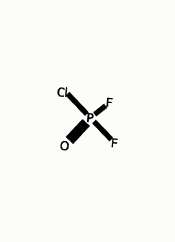 O=P(F)(F)Cl